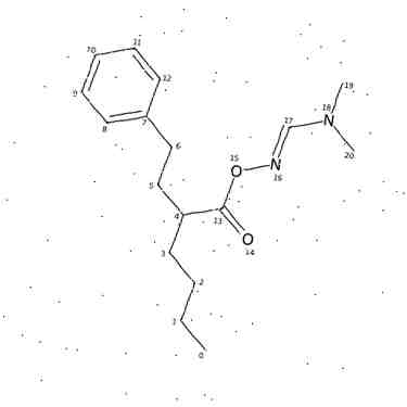 CCCCC(CCc1ccccc1)C(=O)ON=CN(C)C